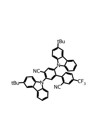 CC(C)(C)c1ccc2c(c1)c1ccccc1n2-c1cc(-c2ccc(C(F)(F)F)cc2C#N)c(-n2c3ccccc3c3cc(C(C)(C)C)ccc32)cc1C#N